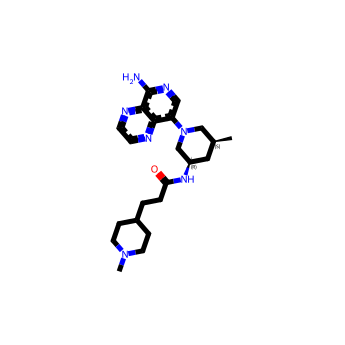 C[C@H]1C[C@@H](NC(=O)CCC2CCN(C)CC2)CN(c2cnc(N)c3nccnc23)C1